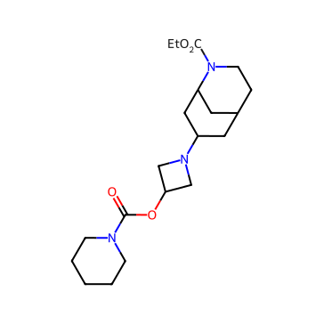 CCOC(=O)N1CCC2CC(N3CC(OC(=O)N4CCCCC4)C3)CC1C2